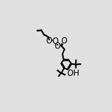 CCCCOOOC(=O)CCc1cc(C(C)(C)C)c(O)c(C(C)(C)C)c1